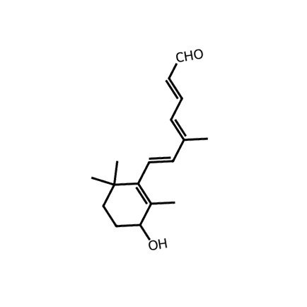 CC(C=CC1=C(C)C(O)CCC1(C)C)=CC=CC=O